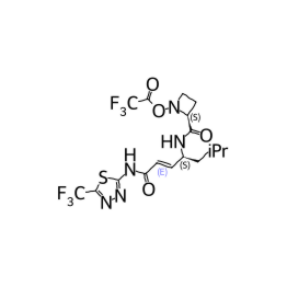 CC(C)C[C@@H](/C=C/C(=O)Nc1nnc(C(F)(F)F)s1)NC(=O)[C@@H]1CCN1OC(=O)C(F)(F)F